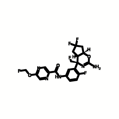 NC1=N[C@](CF)(c2cc(NC(=O)c3cnc(OCF)cn3)ccc2F)[C@H]2CC(F)(F)C[C@H]2O1